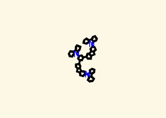 c1ccc2c(c1)c1ccccc1n2-c1cc(-c2ccc3c(c2)-c2cc(-n4c5ccccc5c5ccccc54)ccc2C3)cc(-c2ccc3c(c2)-c2cc(-n4c5ccccc5c5ccccc54)ccc2C3)c1